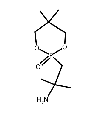 CC(C)(N)CP1(=O)OCC(C)(C)CO1